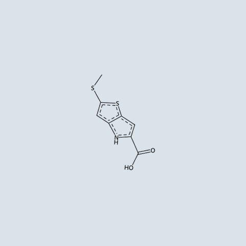 CSc1cc2[nH]c(C(=O)O)cc2s1